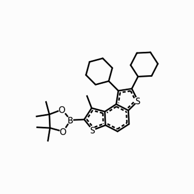 Cc1c(B2OC(C)(C)C(C)(C)O2)sc2ccc3sc(C4CCCCC4)c(C4CCCCC4)c3c12